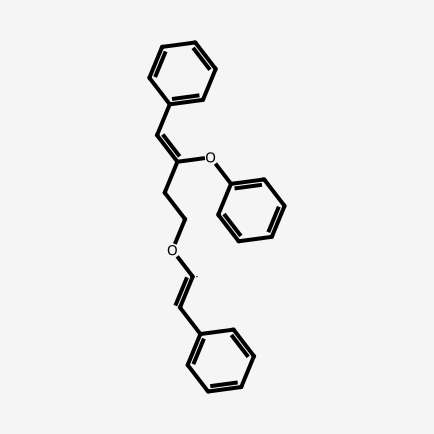 [C](=Cc1ccccc1)OCCC(=Cc1ccccc1)Oc1ccccc1